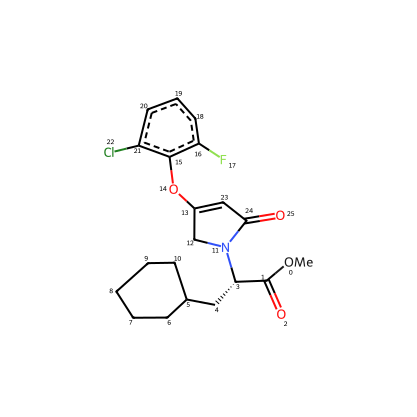 COC(=O)[C@H](CC1CCCCC1)N1CC(Oc2c(F)cccc2Cl)=CC1=O